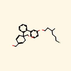 CC(C)CCCC(C)CCOc1cccc(-c2ccccc2C2(CO)C=CC(CO)=CC2)c1